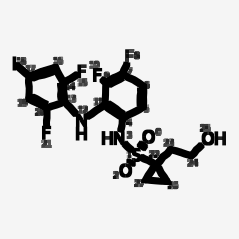 O=S(=O)(Nc1ccc(F)c(F)c1Nc1c(F)cc(I)cc1F)C1(CCO)CC1